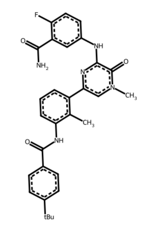 Cc1c(NC(=O)c2ccc(C(C)(C)C)cc2)cccc1-c1cn(C)c(=O)c(Nc2ccc(F)c(C(N)=O)c2)n1